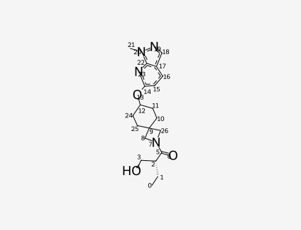 CC[C@H](CO)C(=O)N1CC2(CCC(Oc3ccc4cnn(C)c4n3)CC2)C1